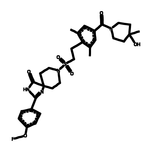 Cc1cc(C(=O)N2CCC(C)(O)CC2)cc(C)c1CCS(=O)(=O)N1CCC2(CC1)N=C(c1ccc(OF)cc1)NC2=O